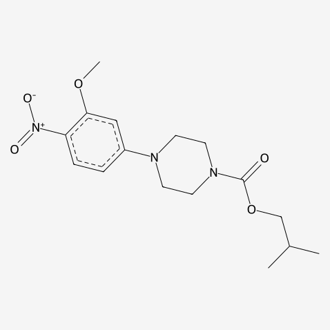 COc1cc(N2CCN(C(=O)OCC(C)C)CC2)ccc1[N+](=O)[O-]